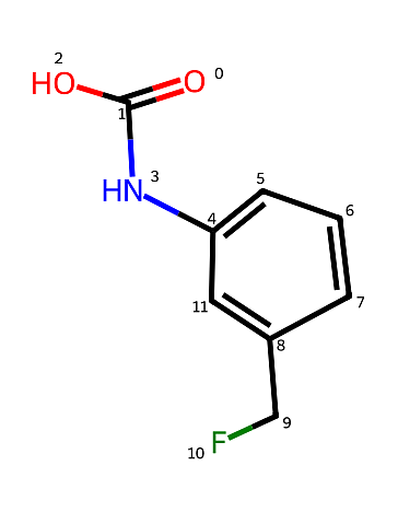 O=C(O)Nc1cccc(CF)c1